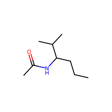 CCCC(NC(C)=O)C(C)C